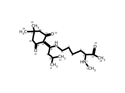 CNC(CCCCNC(CC(C)C)=C1C(=O)CC(C)(C)CC1=O)C(C)=O